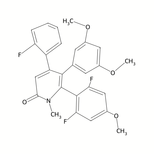 COc1cc(OC)cc(-c2c(-c3ccccc3F)cc(=O)n(C)c2-c2c(F)cc(OC)cc2F)c1